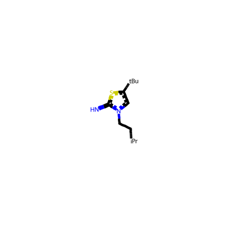 CC(C)CCn1cc(C(C)(C)C)sc1=N